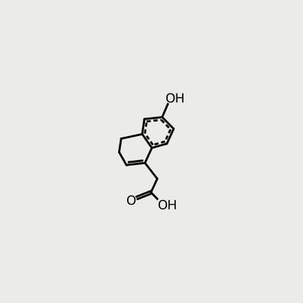 O=C(O)CC1=CCCc2cc(O)ccc21